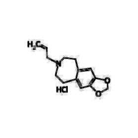 C=CCN1CCc2cc3c(cc2CC1)OCO3.Cl